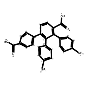 Nc1ccc(-c2c(C(=O)O)ccc(-c3ccc(C(=O)O)cc3)c2-c2ccc(N)cc2)cc1